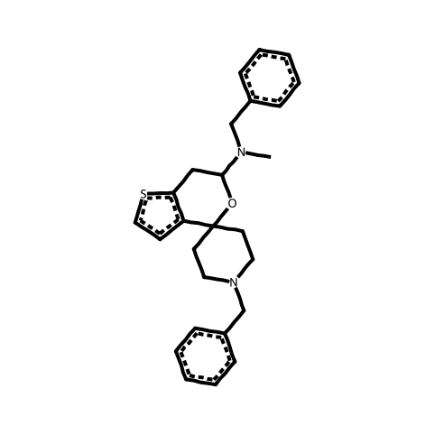 CN(Cc1ccccc1)C1Cc2sccc2C2(CCN(Cc3ccccc3)CC2)O1